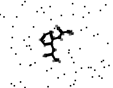 NC(=O)Oc1cccnc1OC(N)=O